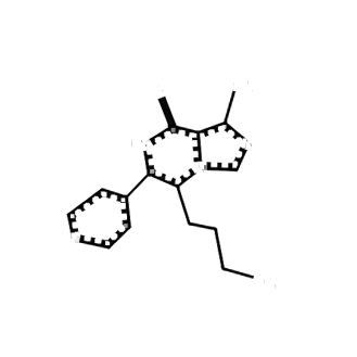 CCCCc1c(-c2ccncc2)[nH]c(=O)c2c(C)ncn12